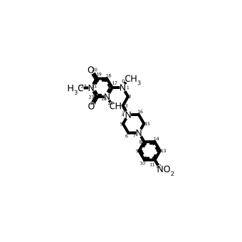 CN(CCN1CCN(c2ccc([N+](=O)[O-])cc2)CC1)c1cc(=O)n(C)c(=O)n1C